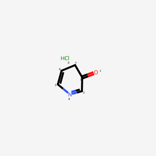 Cl.O=C1C=NC=CC1